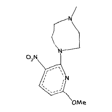 COc1ccc([N+](=O)[O-])c(N2CCN(C)CC2)n1